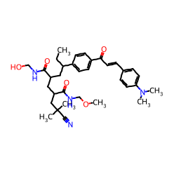 CCC(CC(CC(CC(C)(C)C#N)C(=O)NCOC)C(=O)NCO)c1ccc(C(=O)C=Cc2ccc(N(C)C)cc2)cc1